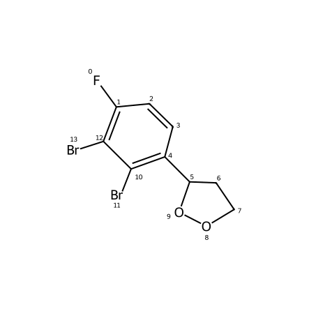 Fc1ccc(C2CCOO2)c(Br)c1Br